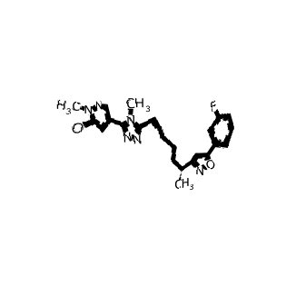 C[C@H](CCC/C=C\c1nnc(-c2cnn(C)c(=O)c2)n1C)c1cc(-c2cccc(F)c2)on1